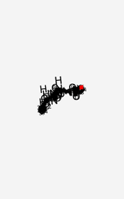 C[C@H](NC(=O)CCCCN1C(=O)c2ccccc2C1=O)C(=O)N[C@H](CCC(=O)OCc1ccccc1)C(N)=O